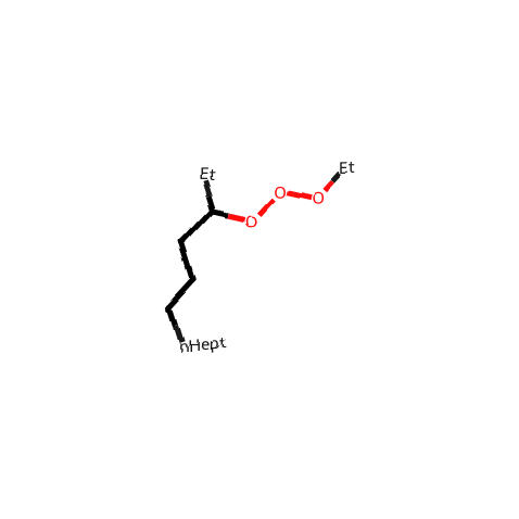 CCCCCCCCCCC(CC)OOOCC